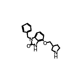 O=c1[nH]c2c(OCC3CCNC3)cccc2n1Cc1ccccc1